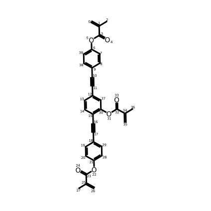 C=C(C)C(=O)Oc1ccc(C#Cc2ccc(C#Cc3ccc(OC(=O)C(=C)C)cc3)c(OC(=O)C(=C)C)c2)cc1